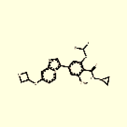 COc1cc(-c2cnc3cc(OC4COC4)ccn23)cc(OC(F)F)c1C(=O)NC1CC1